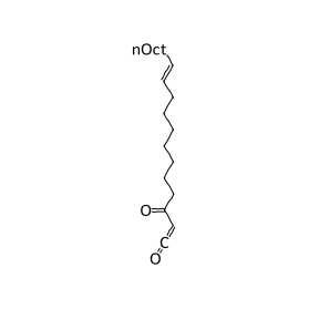 CCCCCCCCC=CCCCCCCCC(=O)C=C=O